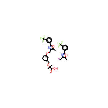 Cc1oc(-c2cccc(C(F)(F)F)c2)nc1CI.Cc1oc(-c2cccc(C(F)(F)F)c2)nc1CO[C@@H]1CCC[C@H](COC(C)(C)C(=O)O)C1